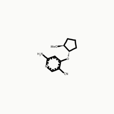 CO[C@H]1CCC[C@@H]1Oc1cc(N)ncc1C#N